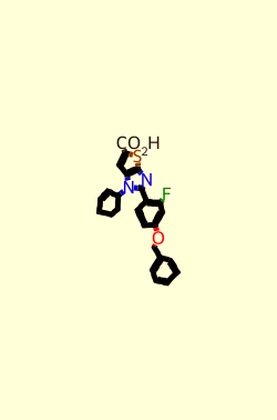 O=C(O)c1cc2c(nc(-c3ccc(OCc4ccccc4)cc3F)n2C2C=CCCC2)s1